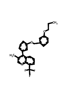 CCCOc1cccc(COc2cccc(-c3c(C)cnc4c(C(F)(F)F)cccc34)c2)c1